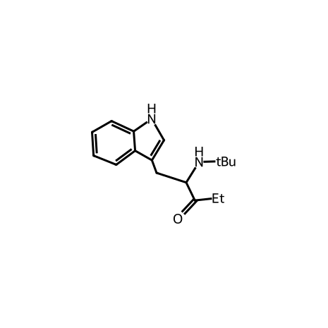 CCC(=O)C(Cc1c[nH]c2ccccc12)NC(C)(C)C